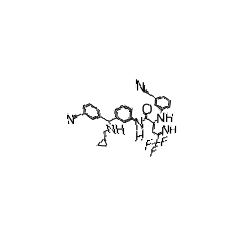 N#Cc1cccc(N/C(=C\C(=N)C(F)(F)F)C(=O)Nc2cccc(C(NCC3CC3)c3cccc(C#N)c3)c2)c1